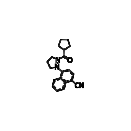 N#Cc1ccc(N2CCCN2C(=O)C2CCCC2)c2ccccc12